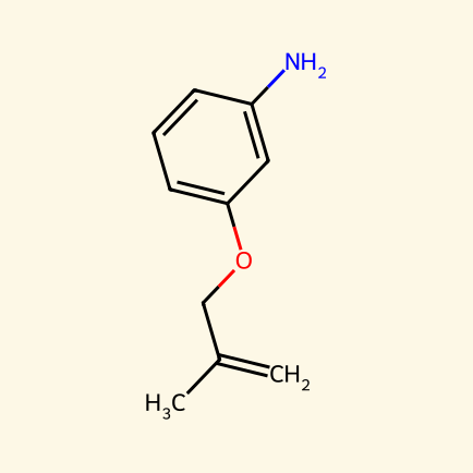 C=C(C)COc1cccc(N)c1